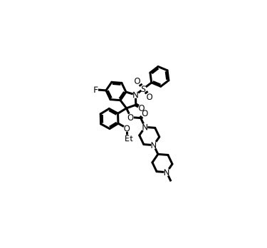 CCOc1ccccc1C1(OC(=O)N2CCN(C3CCN(C)CC3)CC2)C(=O)N(S(=O)(=O)c2ccccc2)c2ccc(F)cc21